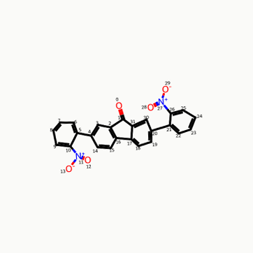 O=C1c2cc(-c3ccccc3[N+](=O)[O-])ccc2-c2ccc(-c3ccccc3[N+](=O)[O-])cc21